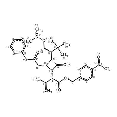 C=C(C)[C@H](C(=O)OCc1ccc([N+](=O)[O-])cc1)N1C(=O)[C@@H]([C@@H](CO[SiH](C)C)C(C)(C)C)[C@H]1CC(=O)Sc1ccccc1